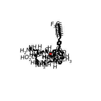 CC(NC1CC(=O)N(OC(=O)OCc2ccc(CCC(F)(F)C(F)(F)C(F)(F)C(F)(F)C(F)(F)C(F)(F)C(F)(F)C(F)(F)F)cc2)C1=O)C(=O)N1CCC[C@H]1C(=O)N[C@@H](CCCNC(=N)N)C(=O)N[C@H](C(=O)N1CCC[C@H]1C(=O)NCC(=O)NCC(=O)NC(CCCNC(=N)N)C(=O)N[C@@H](CCCNC(=N)N)C(=O)O)[C@@H](C)O